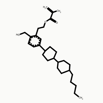 C=C(C)C(=O)OCCc1cc(C2CCC(C3CCC(CCCCC)CC3)CC2)ccc1CO